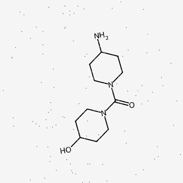 NC1CCN(C(=O)N2CCC(O)CC2)CC1